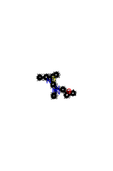 CC12Oc3ccccc3C1C=CC=C2c1cccc(-c2nc(C3=CC=C(c4nc5cc(-c6ccccc6)ccc5c5c4Sc4ccccc4C5)CC3)nc(-c3ccccc3)n2)c1